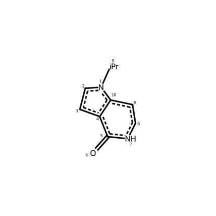 CC(C)n1ccc2c(=O)[nH]ccc21